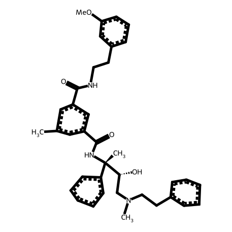 COc1cccc(CCNC(=O)c2cc(C)cc(C(=O)N[C@@](C)(c3ccccc3)[C@H](O)CN(C)CCc3ccccc3)c2)c1